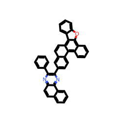 c1ccc(-c2nc3ccc4ccccc4c3nc2-c2ccc3c(ccc4c3c3ccccc3c3oc5ccccc5c43)c2)cc1